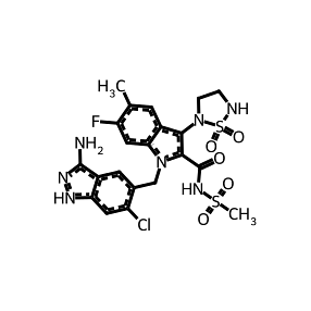 Cc1cc2c(N3CCNS3(=O)=O)c(C(=O)NS(C)(=O)=O)n(Cc3cc4c(N)n[nH]c4cc3Cl)c2cc1F